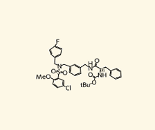 COc1ccc(Cl)cc1S(=O)(=O)N(Cc1ccc(F)cc1)Cc1cccc(CNC(=O)[C@@H](Cc2ccccc2)NC(=O)OC(C)(C)C)c1